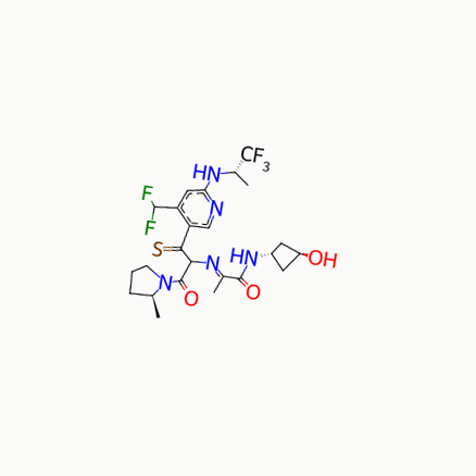 C/C(=N\C(C(=O)N1CCC[C@@H]1C)C(=S)c1cnc(N[C@@H](C)C(F)(F)F)cc1C(F)F)C(=O)N[C@H]1C[C@H](O)C1